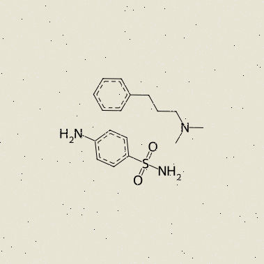 CN(C)CCCc1ccccc1.Nc1ccc(S(N)(=O)=O)cc1